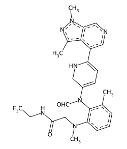 Cc1cccc(N(C)CC(=O)NCC(F)(F)F)c1N(C=O)C1=CC=C(c2cncc3c2c(C)nn3C)NC1